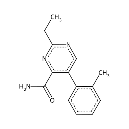 CCc1ncc(-c2ccccc2C)c(C(N)=O)n1